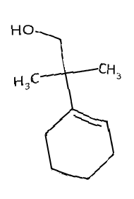 CC(C)(CO)C1=CCCCC1